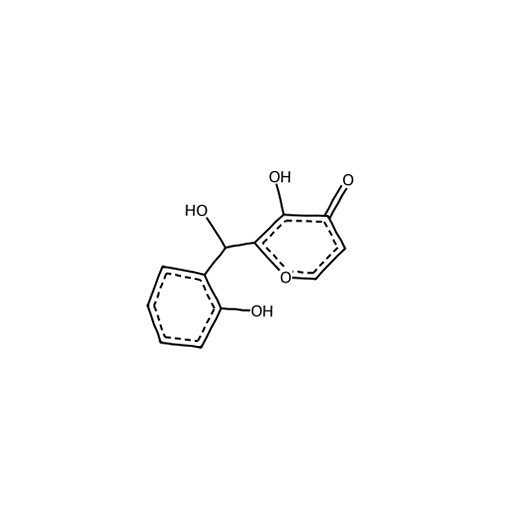 O=c1ccoc(C(O)c2ccccc2O)c1O